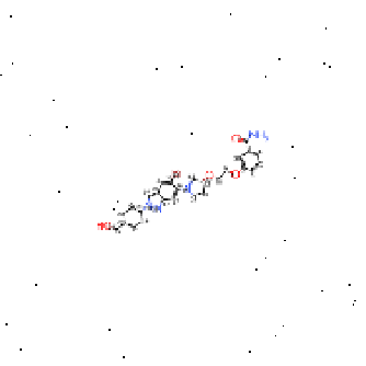 NC(=O)c1cccc(OCCO[C@H]2CCN(c3cc4nn(C5CCC(CO)CC5)cc4cc3Br)C2)c1